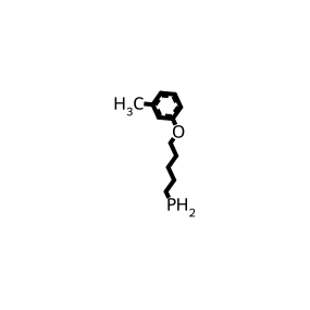 Cc1cccc(OCCCCCP)c1